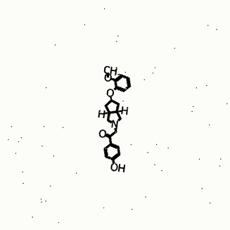 COc1ccccc1O[C@H]1C[C@@H]2CN(CC(=O)c3ccc(O)cc3)C[C@@H]2C1